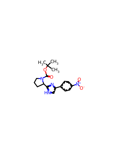 CC(C)(C)OC(=O)N1CCCC1c1nc(-c2ccc([N+](=O)[O-])cc2)c[nH]1